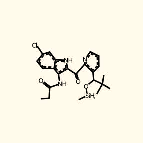 CCC(=O)Nc1c(C(=O)c2ncccc2C(O[SiH](C)C)C(C)(C)C)[nH]c2cc(Cl)ccc12